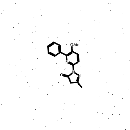 COc1ccc(N2N=C(C)CC2=O)nc1-c1ccccc1